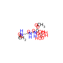 C=CS(=O)(=O)NCCCCCC(=O)NCCC(=O)Nc1cc(COC(C)=O)ccc1O[C@@H]1O[C@H](C(=O)O)[C@@H](O)[C@H](O)[C@H]1O